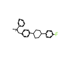 C[C@H](Cc1ccc(C2CCC(c3ccc(F)cc3)CC2)cc1)c1ccccc1